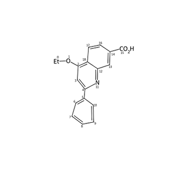 CCOc1cc(-c2ccccc2)nc2cc(C(=O)O)ccc12